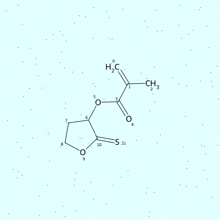 C=C(C)C(=O)OC1CCOC1=S